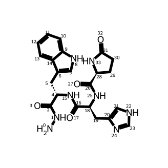 NNC(=O)[C@H](Cc1c[nH]c2ccccc12)NC(=O)[C@H](Cc1c[nH]cn1)NC(=O)[C@@H]1CCC(=O)N1